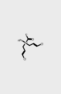 CCC[N+](CC=CCl)(CC=CCl)C(=O)[S-]